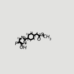 COC(=O)CC1CCC(c2ncc(F)c(O)n2)CC1